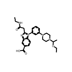 CCNC(=O)Cc1nc2cc(C(=O)O)ccc2n1-c1cccc(N2CCN(C(C)OCC)CC2)c1